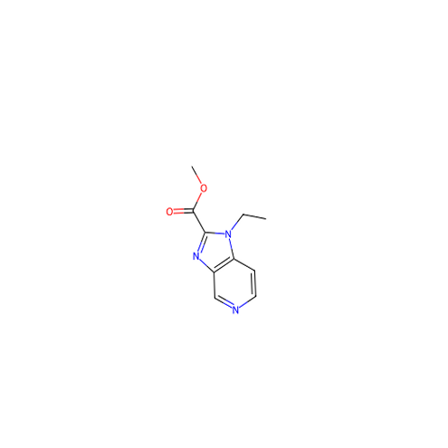 CCn1c(C(=O)OC)nc2cnccc21